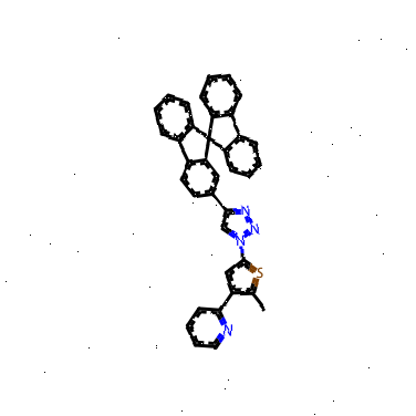 Cc1sc(-n2cc(-c3ccc4c(c3)C3(c5ccccc5-c5ccccc53)c3ccccc3-4)nn2)cc1-c1ccccn1